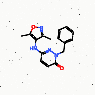 Cc1noc(C)c1Nc1ccc(=O)n(Cc2ccccc2)n1